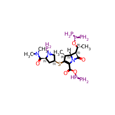 C[C@@H](OP(P)P)[C@H]1C(=O)N2C(C(=O)OPP)=C(S[C@H]3C[C@@H](C(=O)N(C)C)N(P)C3)[C@H](C)[C@H]12